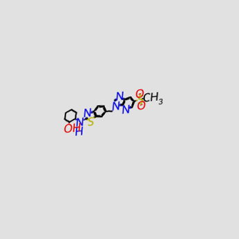 CS(=O)(=O)c1cnc2c(c1)ncn2Cc1ccc2nc(NC3CCCCC3O)sc2c1